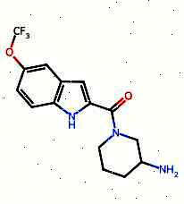 NC1CCCN(C(=O)c2cc3cc(OC(F)(F)F)ccc3[nH]2)C1